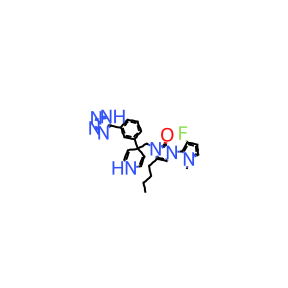 CCCCc1cn(-c2c(F)ccn2C)c(=O)n1CC1(c2cccc(-c3nnn[nH]3)c2)C=CNC=C1